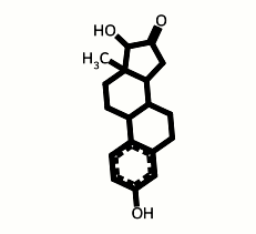 CC12CCC3c4ccc(O)cc4CCC3C1CC(=O)C2O